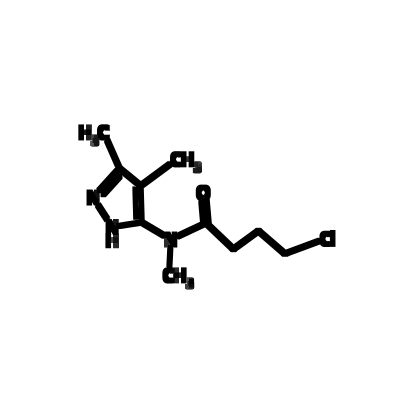 Cc1n[nH]c(N(C)C(=O)CCCCl)c1C